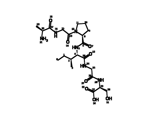 CC[C@H](C)[C@H](NC(=O)[C@@H]1CCCN1C(=O)CNC(=O)[C@H](C)N)C(=O)NCC(=O)N[C@@H](CO)C(=O)O